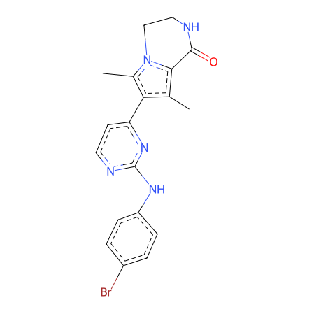 Cc1c(-c2ccnc(Nc3ccc(Br)cc3)n2)c(C)n2c1C(=O)NCC2